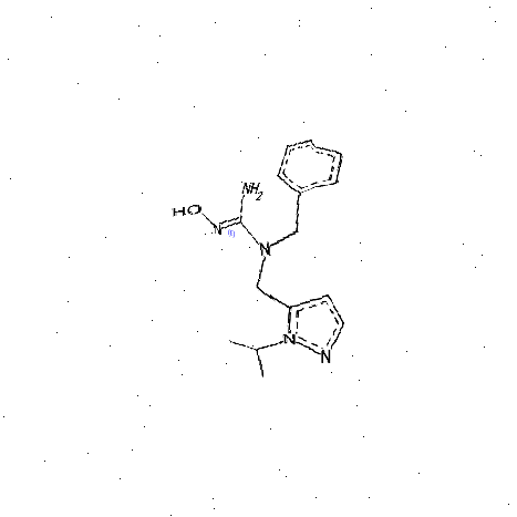 CC(C)n1nccc1CN(Cc1ccccc1)/C(N)=N/O